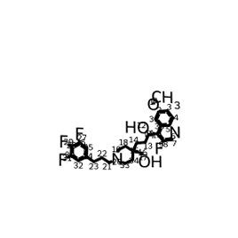 COc1ccc2ncc(F)c([C@H](O)CCC3(CO)CCN(CCCc4cc(F)c(F)c(F)c4)CC3)c2c1